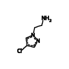 NCCn1cc(Cl)cn1